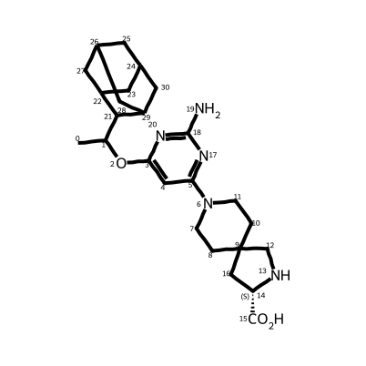 CC(Oc1cc(N2CCC3(CC2)CN[C@H](C(=O)O)C3)nc(N)n1)C1C2CC3CC(C2)CC1C3